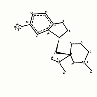 CN1CCC[C@@](C[C@H]2CCc3ccc(C(F)(F)F)cc32)(N(C)C)C1